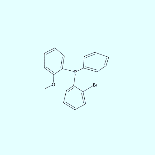 COc1ccccc1P(c1ccccc1)c1ccccc1Br